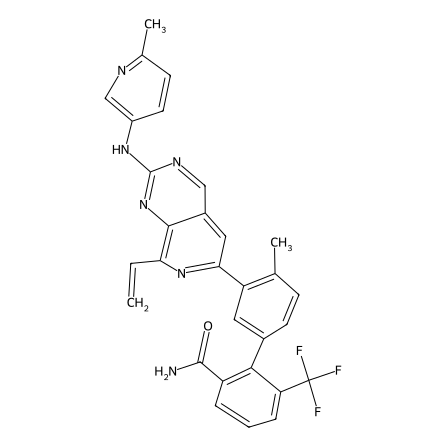 C=Cc1nc(-c2cc(-c3c(C(N)=O)cccc3C(F)(F)F)ccc2C)cc2cnc(Nc3ccc(C)nc3)nc12